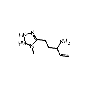 C=CC(N)CCC1=NNNN1C